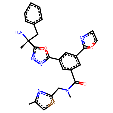 Cc1csc(CN(C)C(=O)c2cc(-c3ncco3)cc(-c3nnc([C@](C)(N)Cc4ccccc4)o3)c2)n1